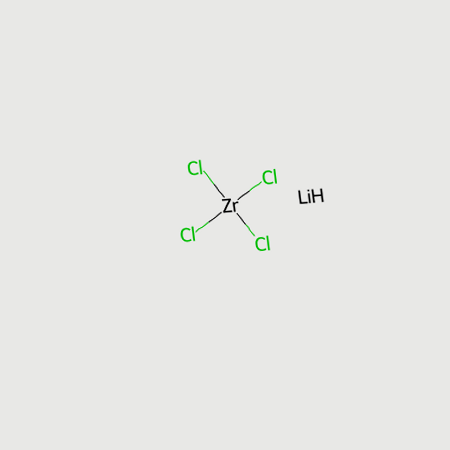 [Cl][Zr]([Cl])([Cl])[Cl].[LiH]